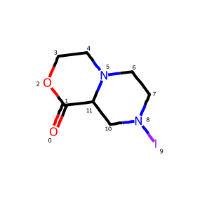 O=C1OCCN2CCN(I)CC12